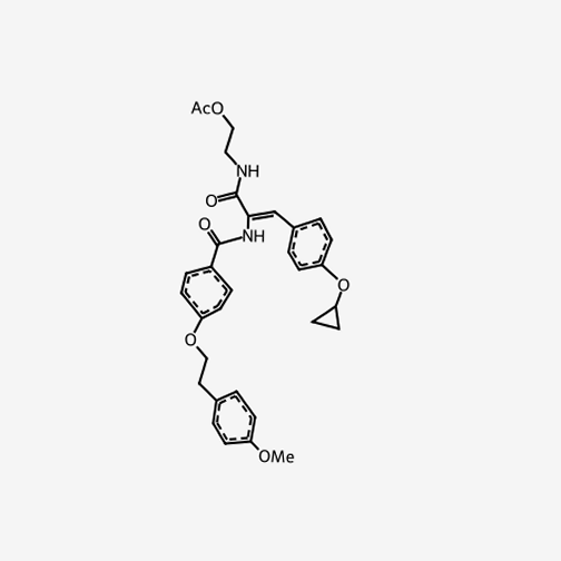 COc1ccc(CCOc2ccc(C(=O)N/C(=C\c3ccc(OC4CC4)cc3)C(=O)NCCOC(C)=O)cc2)cc1